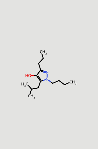 CCCCn1nc(CCC)c(O)c1CC(C)C